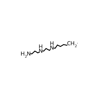 [CH2]CCCCCNCCCNCCCN